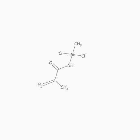 C=C(C)C(=O)N[Si](C)(Cl)Cl